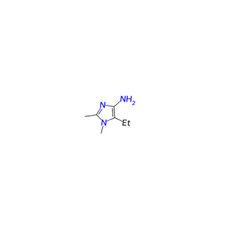 CCc1c(N)nc(C)n1C